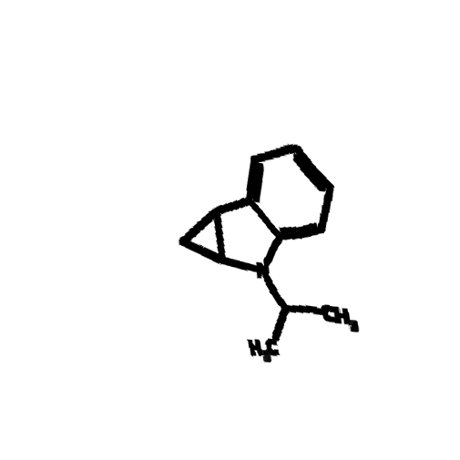 CC(C)N1c2ccccc2C2CC21